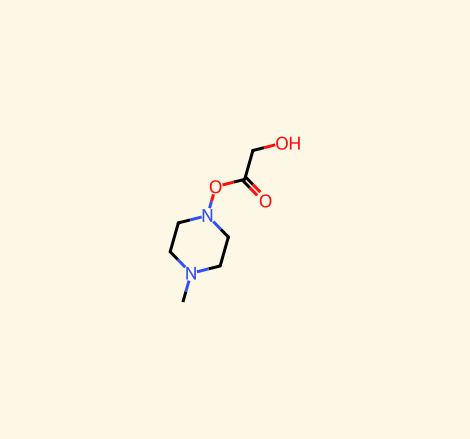 CN1CCN(OC(=O)CO)CC1